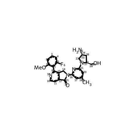 COc1cccc(F)c1-c1nccc2c1CN(c1cc(C)cc(N3C[C@@H](N)C[C@H]3CO)n1)C2=O